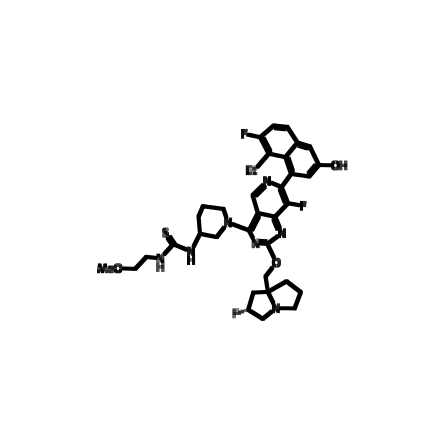 CCc1c(F)ccc2cc(O)cc(-c3ncc4c(N5CCCC(NC(=S)NCCOC)C5)nc(OCC56CCCN5C[C@H](F)C6)nc4c3F)c12